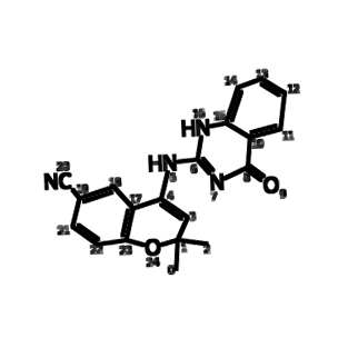 CC1(C)C=C(Nc2nc(=O)c3ccccc3[nH]2)c2cc(C#N)ccc2O1